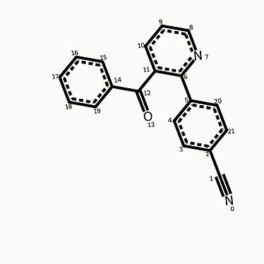 N#Cc1ccc(-c2ncccc2C(=O)c2ccccc2)cc1